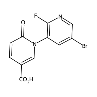 O=C(O)c1ccc(=O)n(-c2cc(Br)cnc2F)c1